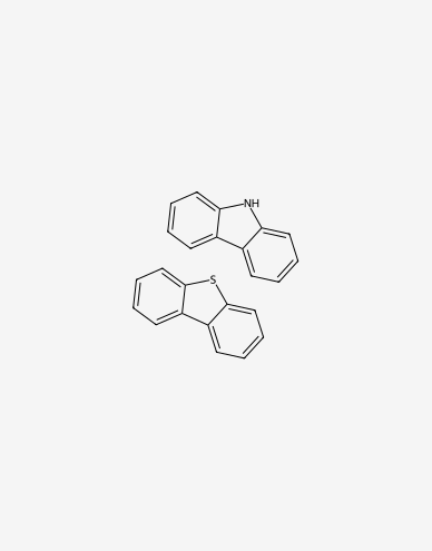 c1ccc2c(c1)[nH]c1ccccc12.c1ccc2c(c1)sc1ccccc12